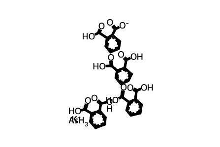 O=C(O)c1ccccc1C(=O)O.O=C(O)c1ccccc1C(=O)O.O=C(O)c1ccccc1C(=O)O.O=C([O-])c1ccccc1C(=O)O.[AsH3].[K+]